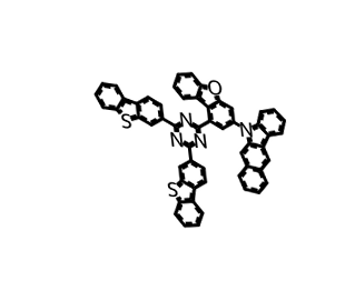 c1ccc2cc3c(cc2c1)c1ccccc1n3-c1cc(-c2nc(-c3ccc4c(c3)sc3ccccc34)nc(-c3ccc4c(c3)sc3ccccc34)n2)c2c(c1)oc1ccccc12